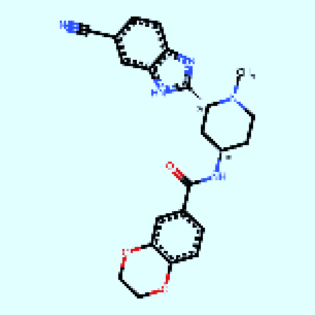 CN1CC[C@@H](NC(=O)c2ccc3c(c2)OCCO3)C[C@@H]1c1nc2ccc(C#N)cc2[nH]1